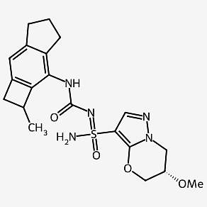 CO[C@@H]1COc2c(S(N)(=O)=NC(=O)Nc3c4c(cc5c3C(C)C5)CCC4)cnn2C1